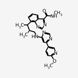 CNC(=O)c1ncnc2c(C(C)[C@H](C)CNc3cc(-c4ccc(OC)nc4)ncn3)cccc12